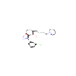 O=C1c2c(-c3cccc(Cl)c3)noc2CCC1CCCCN1CCCCC1